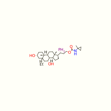 CC[C@H]1[C@@H](O)C2[C@@H]3CC[C@H]([C@H](P)CCOC(=O)NC4(C)CC4)[C@@]3(C)CC[C@@H]2[C@@]2(C)CC[C@@H](O)C[C@@H]12